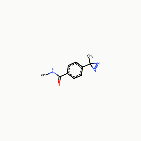 CCCNC(=O)c1ccc(C2(C)N=N2)cc1